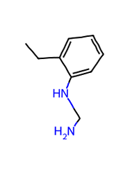 CCc1ccccc1NCN